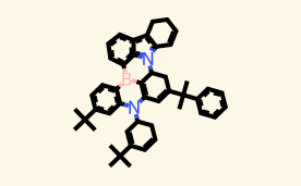 CC(C)(C)C1=CC(N2C3=C4B(c5ccc(C(C)(C)C)cc52)c2cccc5c6c(n(c25)C4CC(C(C)(C)c2ccccc2)=C3)C=CCC6)CC=C1